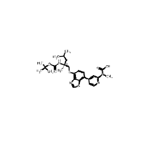 CC(C)C[C@@](C)(COc1ccc(-c2ccnc(N(C)C(=O)O)c2)c2scnc12)NC(=O)OC(C)(C)C